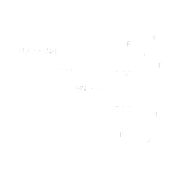 CNCCNc1cc(C(F)(F)F)cc(C(F)(F)F)c1